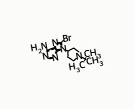 CC(C)(C)N1CCC(n2c(Br)nc3c(N)ncnc32)CC1